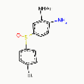 CCc1ccc([S+]([O-])c2ccc(N)c(NC(C)=O)c2)cc1